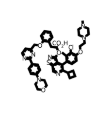 Cc1c(-c2c(C3CCC3)ncc3snc(O[C@H](Cc4ccccc4OCc4ccnc(-c5ccc(N6CCOCC6)cc5)n4)C(=O)O)c23)ccc(OCCN2CCN(C)CC2)c1Cl